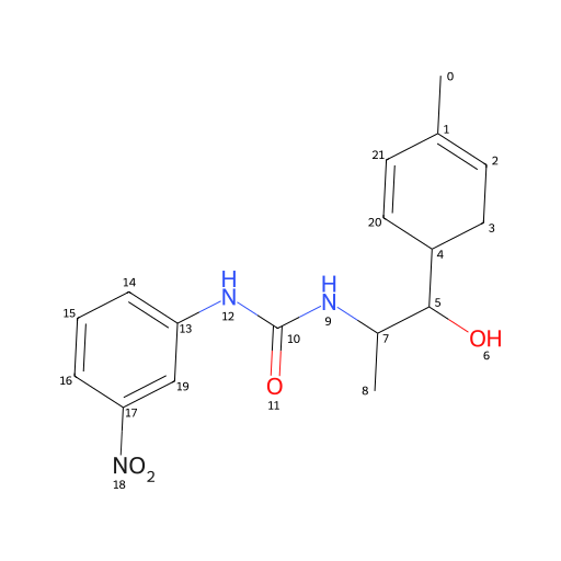 CC1=CCC(C(O)C(C)NC(=O)Nc2cccc([N+](=O)[O-])c2)C=C1